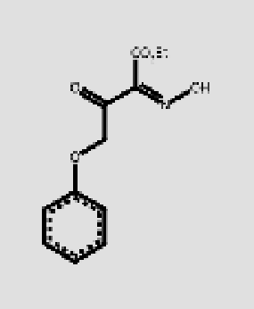 CCOC(=O)C(=NO)C(=O)COc1ccccc1